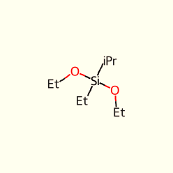 CCO[Si](CC)(OCC)C(C)C